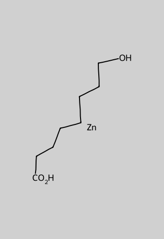 O=C(O)CCCCCCCO.[Zn]